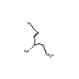 CCC=CC(C)OC(=O)O